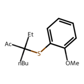 CCCCC(CC)(Sc1ccccc1OC)C(C)=O